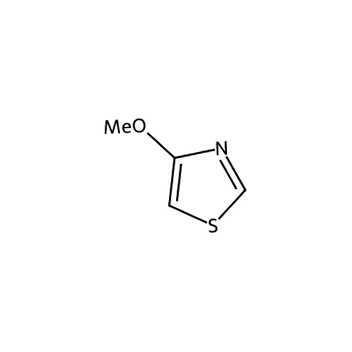 [CH2]Oc1cscn1